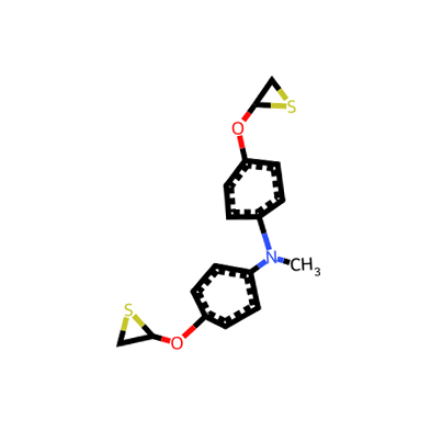 CN(c1ccc(OC2CS2)cc1)c1ccc(OC2CS2)cc1